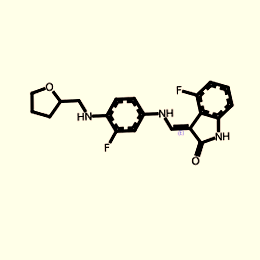 O=C1Nc2cccc(F)c2/C1=C\Nc1ccc(NCC2CCCO2)c(F)c1